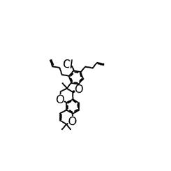 C=CCCc1ccc(C2(C)COc3c(ccc4c3C=CC(C)(C)O4)C2=O)c(CCC=C)c1Cl